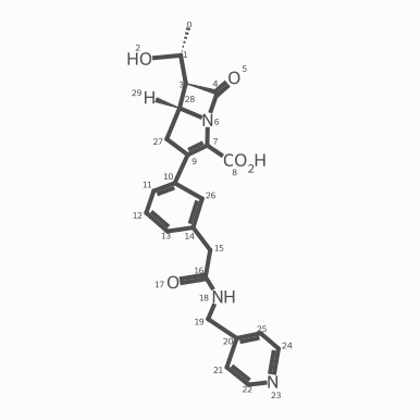 C[C@@H](O)[C@H]1C(=O)N2C(C(=O)O)=C(c3cccc(CC(=O)NCc4ccncc4)c3)C[C@H]12